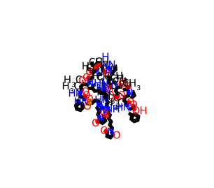 CC[C@H](C)[C@@H]([C@@H](CC(=O)N1CC(Cc2cc(C(=O)NCCNC(=O)CCCCCN3C(=O)C=CC3=O)nc(N[C@H](C(=O)N(C)[C@@H]([C@@H](C)CC)[C@@H](CC(=O)N3CCC[C@H]3[C@H](OC)[C@@H](C)C(=O)N[C@@H](Cc3ccccc3)C(=O)O)OC)C(C)C)n2)C[C@H]1[C@H](OC)[C@@H](C)C(=O)N[C@@H](Cc1ccccc1)C(=O)NS(=O)(=O)CCCn1cc(CN2C(=O)C=CC2=O)nn1)OC)N(C)C(=O)[C@@H](Nc1nccc(C)n1)C(C)C